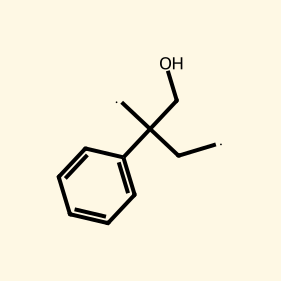 [CH2]CC([CH2])(CO)c1ccccc1